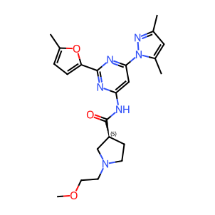 COCCN1CC[C@H](C(=O)Nc2cc(-n3nc(C)cc3C)nc(-c3ccc(C)o3)n2)C1